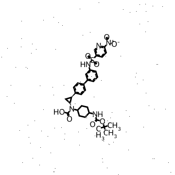 CC(C)(C)OC(=O)NC1CCC(N(C(=O)O)[C@@H]2C[C@H]2c2ccc(-c3cccc(NS(=O)(=O)c4ccc([N+](=O)[O-])nc4)c3)cc2)CC1